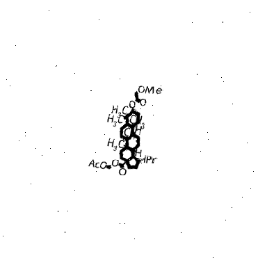 COCC(=O)O[C@H]1CC[C@@]2(C)C(CC[C@]3(C)[C@@H]2CC[C@@H]2C4[C@H](C(C)C)CC[C@]4(C(=O)OCOC(C)=O)CC[C@]23C)C1(C)C